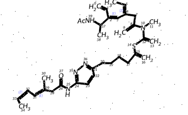 C=C/C(=C\C(=C/C)CC(=C)N(C)C(=C)SC(=C)CCCCc1ccc(NC(=O)C/C(C)=C/C=C\C)nn1)C(C)NC(C)=O